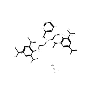 CC(C)c1cc(C(C)C)c(NCCN(CCNc2c(C(C)C)cc(C(C)C)cc2C(C)C)Cc2ccccn2)c(C(C)C)c1.[Cl-].[Cl-].[Co+2]